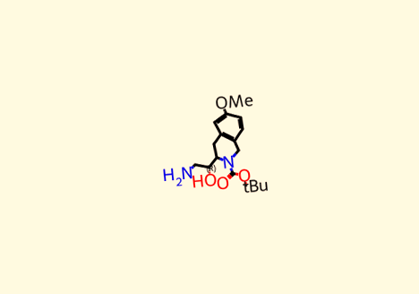 COc1ccc2c(c1)CC([C@H](O)CN)N(C(=O)OC(C)(C)C)C2